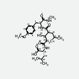 CNC(=O)[C@H](Cc1ccc(OC)cc1)NC(=O)C(CC(C)C)C(S)CC(=O)N[C@H](CC(C)C)C(=O)O